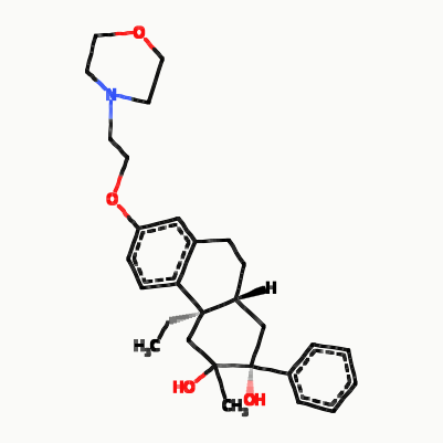 CC[C@@]12CC(C)(O)[C@](O)(c3ccccc3)C[C@H]1CCc1cc(OCCN3CCOCC3)ccc12